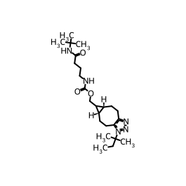 CCC(C)(C)n1nnc2c1CC[C@@H]1C(COC(=O)NCCCC(=O)NC(C)(C)C)[C@@H]1CC2